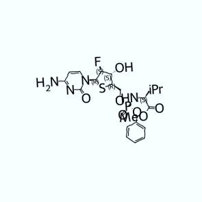 COC(=O)[C@@H](NP(=O)(OC[C@H]1S[C@@H](n2ccc(N)nc2=O)[C@@H](F)[C@@H]1O)Oc1ccccc1)C(C)C